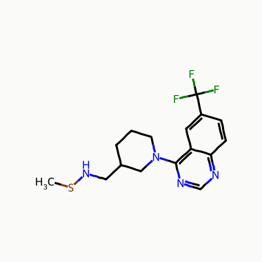 CSNCC1CCCN(c2ncnc3ccc(C(F)(F)F)cc23)C1